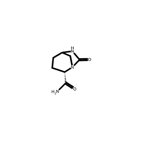 NC(=O)[C@@H]1CCC2CN1C(=O)N2